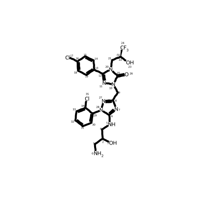 NCC(O)CNc1nc(Cn2nc(-c3ccc(Cl)cc3)n(C[C@H](O)C(F)(F)F)c2=O)nn1-c1ccccc1Cl